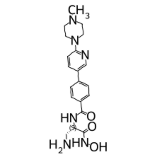 CN1CCN(c2ccc(-c3ccc(C(=O)N[C@@H](CN)C(=O)NO)cc3)cn2)CC1